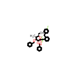 CC[C@H]1O[C@@](O)(C(F)(F)c2ccccc2Cc2ccc(F)cc2)[C@H](OCc2ccccc2)[C@@H](OCc2ccccc2)[C@@H]1C